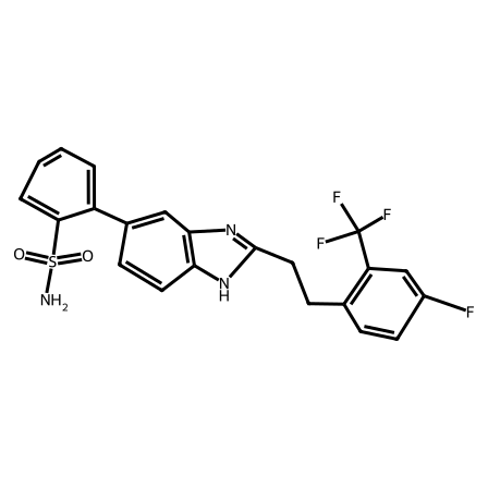 NS(=O)(=O)c1ccccc1-c1ccc2[nH]c(CCc3ccc(F)cc3C(F)(F)F)nc2c1